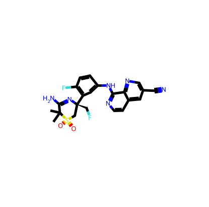 CC1(C)C(N)=N[C@](CF)(c2cc(Nc3nccc4cc(C#N)cnc34)ccc2F)CS1(=O)=O